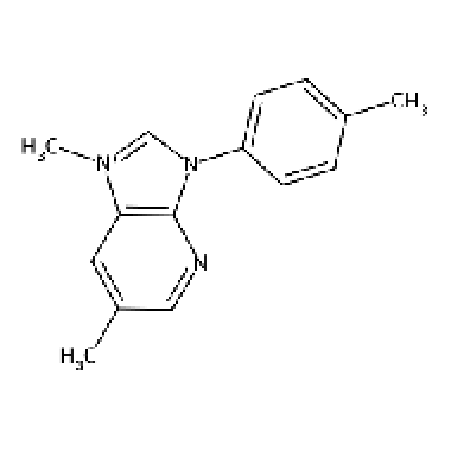 Cc1ccc(-n2c[n+](C)c3cc(C)cnc32)cc1